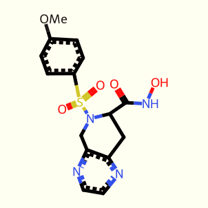 COc1ccc(S(=O)(=O)N2Cc3nccnc3CC2C(=O)NO)cc1